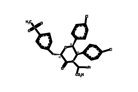 CCCC(C(=O)O)N1C(=O)[C@H](Cc2ccc(S(C)(=O)=O)cc2)O[C@@H](c2ccc(Cl)cc2)[C@H]1c1ccc(Cl)cc1